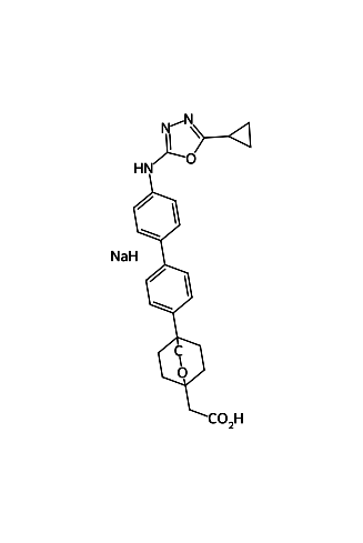 O=C(O)CC12CCC(c3ccc(-c4ccc(Nc5nnc(C6CC6)o5)cc4)cc3)(CC1)CO2.[NaH]